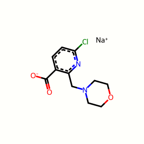 O=C([O-])c1ccc(Cl)nc1CN1CCOCC1.[Na+]